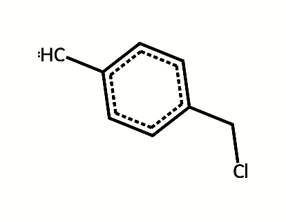 [CH]c1ccc(CCl)cc1